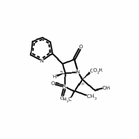 CC1(C)[C@](CO)(C(=O)O)N2C(=O)C(c3ccccn3)[C@H]2S1(=O)=O